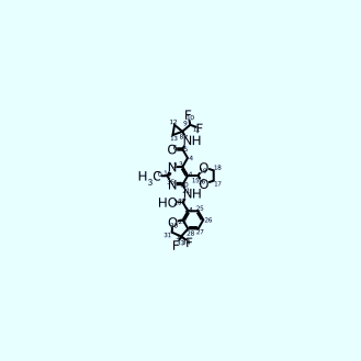 Cc1nc(CC(=O)NC2(C(F)F)CC2)c(C2OCCO2)c(N[C@H](O)c2cccc3c2OCC3(F)F)n1